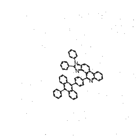 c1ccc(-c2c3ccccc3c(-c3ccc(-c4nc5ccccc5c5ccc6c(nc(-c7ccccc7)n6-c6ccccc6)c45)cc3)c3ccccc23)cc1